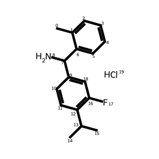 Cc1ccccc1C(N)c1ccc(C(C)C)c(F)c1.Cl